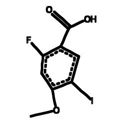 COc1cc(F)c(C(=O)O)cc1I